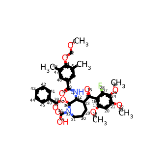 COCOc1c(C)cc(C(=O)NC2C(C(=O)c3c(OC)cc(OC)c(OC)c3F)CCCN(C(=O)O)C2OC(=O)c2ccccc2)cc1C